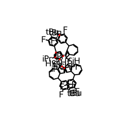 CC(C)C1=CC2=C(C=CC=CC2c2cc(F)c(C(C)(C)C)c(F)c2)[C]12[SiH](C)[C]1(C(C(C)C)=CC3=C1C=CC=CC3c1cc(F)c(C(C)(C)C)c(F)c1)[Hf]21([Cl])([Cl])[C]2(C(C(C)C)=CC3=C2C=CC=CC3c2cc(F)c(C(C)(C)C)c(F)c2)[SiH](C)[C]12C(C(C)C)=CC1=C2C=CC=CC1c1cc(F)c(C(C)(C)C)c(F)c1